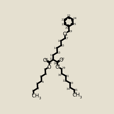 CCCCCCCCOC(=O)C(CCCCCCOCc1ccccc1)C(=O)OCCCCCCCC